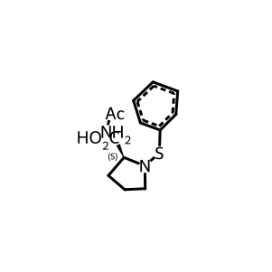 CC(N)=O.O=C(O)[C@@H]1CCCN1Sc1ccccc1